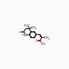 C/C(=C/c1ccc2c(c1)C(C)(C)CC(=O)N2)C(=O)O